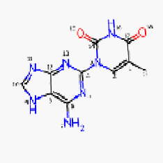 Cc1cn(-c2nc(N)c3[nH]cnc3n2)c(=O)[nH]c1=O